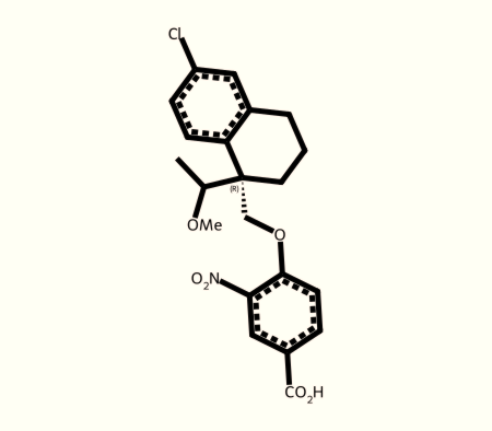 COC(C)[C@]1(COc2ccc(C(=O)O)cc2[N+](=O)[O-])CCCc2cc(Cl)ccc21